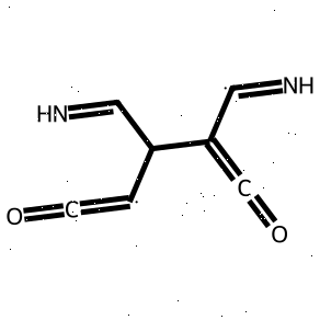 N=[C]C(=C=O)C([C]=C=O)C=N